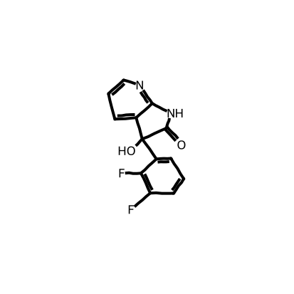 O=C1Nc2ncccc2C1(O)c1cccc(F)c1F